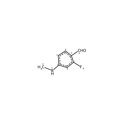 CBc1ccc(C=O)c(F)c1